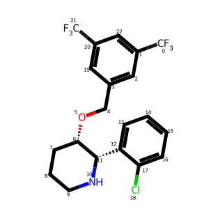 FC(F)(F)c1cc(CO[C@H]2CCCN[C@H]2c2ccccc2Cl)cc(C(F)(F)F)c1